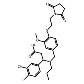 CCCN(Cc1ccc(SCCN2C(=O)CCC2=O)c(OC)c1)C(CC(=O)O)c1ccc(Cl)c(Cl)c1